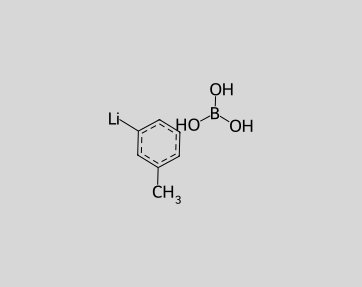 OB(O)O.[Li][c]1cccc(C)c1